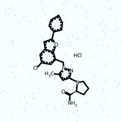 Cc1cc(N2CCC[C@H]2C(N)=O)nn1Cc1cc(Cl)cc2cc(-c3ccccc3)oc12.Cl